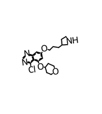 Clc1ncnc2cc(OCCCC3CCNC3)cc(OC3CCOCC3)c12